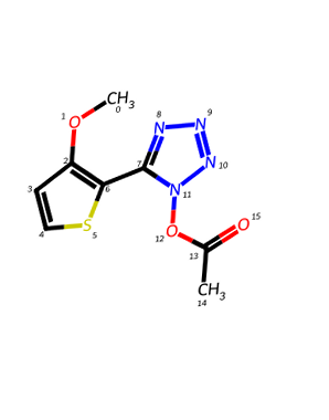 COc1ccsc1-c1nnnn1OC(C)=O